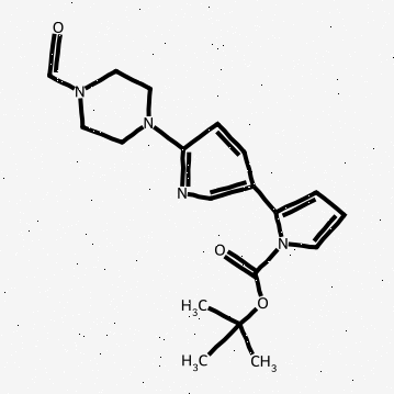 CC(C)(C)OC(=O)n1cccc1-c1ccc(N2CCN(C=O)CC2)nc1